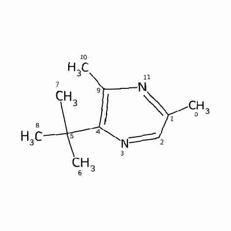 Cc1cnc(C(C)(C)C)c(C)n1